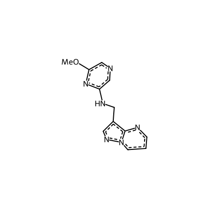 COc1cncc(NCc2cnn3cccnc23)n1